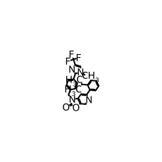 CC(C)c1ccccc1-c1cc2c(cn1)oc(=O)n2Cc1ccc(-c2nc(C(F)(F)F)cn2C)cc1